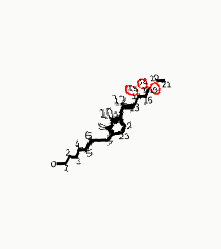 CCCCCCCCc1ccc(/C=C/C(=O)CC(=O)OCC)cc1